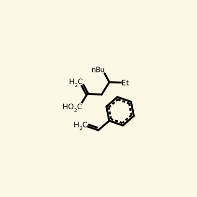 C=C(CC(CC)CCCC)C(=O)O.C=Cc1ccccc1